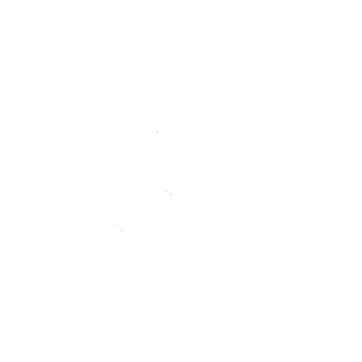 CCN(c1ccccc1)c1ccnc(Cl)n1